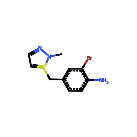 CN1N=CC=S1Cc1ccc(N)c(Br)c1